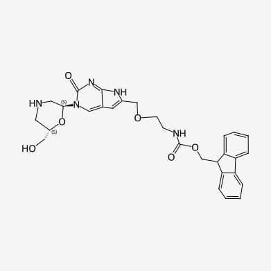 O=C(NCCOCc1cc2cn([C@@H]3CNC[C@@H](CO)O3)c(=O)nc2[nH]1)OCC1c2ccccc2-c2ccccc21